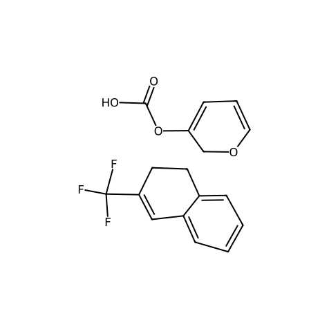 FC(F)(F)C1=Cc2ccccc2CC1.O=C(O)OC1=CC=COC1